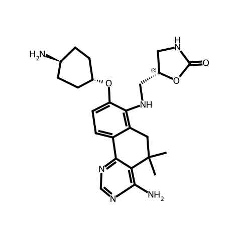 CC1(C)Cc2c(ccc(O[C@H]3CC[C@H](N)CC3)c2NC[C@@H]2CNC(=O)O2)-c2ncnc(N)c21